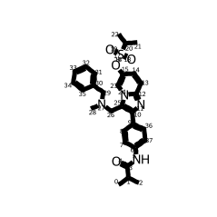 CC(C)C(=O)Nc1ccc(-c2nc3ccc(OS(=O)(=O)C(C)C)cn3c2CN(C)Cc2ccccc2)cc1